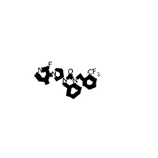 Cc1ccnc(F)c1N1CCC(N2Cc3ccccc3N(Cc3ccccc3C(F)(F)F)C2=O)C1